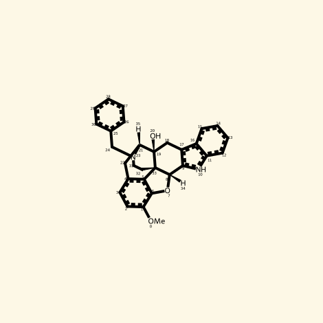 COc1ccc2c3c1O[C@H]1c4[nH]c5ccccc5c4C[C@@]4(O)[C@@H](C2)N(Cc2ccccc2)CC[C@]314